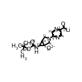 [Li][C](=O)c1cnc(N2CC3C(C2)C3NC(=O)OC(C)(C)C)cn1.[O-2]